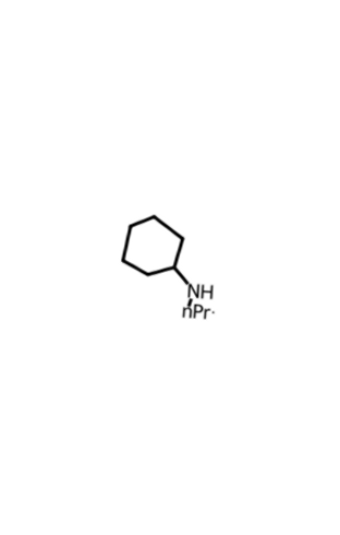 CC[CH]NC1CCCCC1